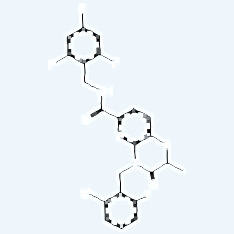 CC1Sc2ccc(C(=O)NCc3c(F)cc(F)cc3F)nc2N(Cc2c(F)cccc2Cl)C1=O